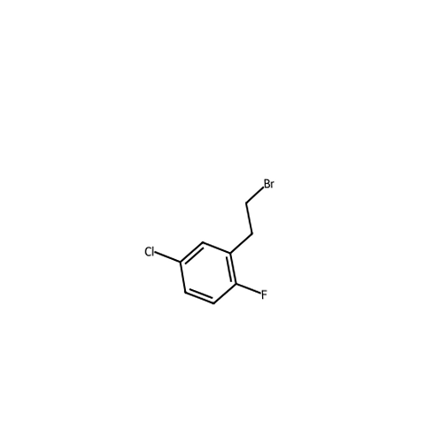 Fc1ccc(Cl)cc1CCBr